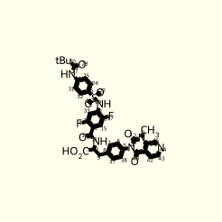 Cn1c(=O)n(-c2ccc(CC(NC(=O)c3cc(F)c(NS(=O)(=O)c4ccc(NC(=O)C(C)(C)C)cc4)cc3F)C(=O)O)cc2)c(=O)c2ccncc21